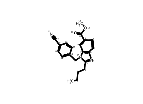 CCCCc1nc2ccc(C(=O)OC)cc2n1Cc1ccc(C#N)cc1